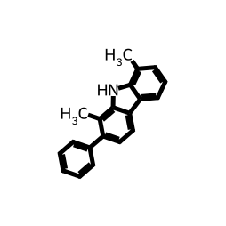 Cc1cccc2c1[nH]c1c(C)c(-c3ccccc3)ccc12